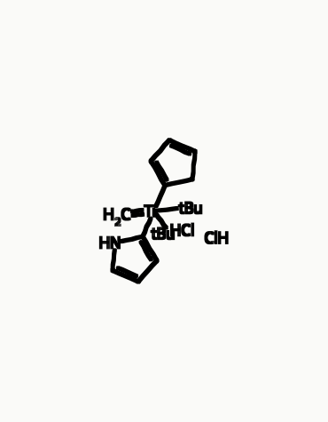 Cl.Cl.[CH2]=[Ti]([C]1=CC=CC1)([c]1ccc[nH]1)([C](C)(C)C)[C](C)(C)C